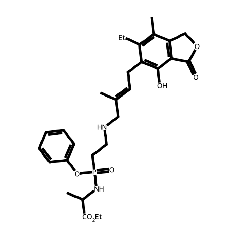 CCOC(=O)C(C)NP(=O)(CCNC/C(C)=C/Cc1c(O)c2c(c(C)c1CC)COC2=O)Oc1ccccc1